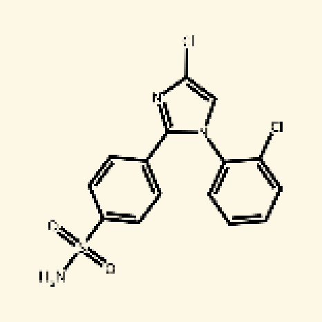 NS(=O)(=O)c1ccc(-c2nc(Cl)cn2-c2ccccc2Cl)cc1